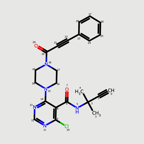 C#CC(C)(C)NC(=O)c1c(Cl)ncnc1N1CCN(C(=O)C#Cc2ccccc2)CC1